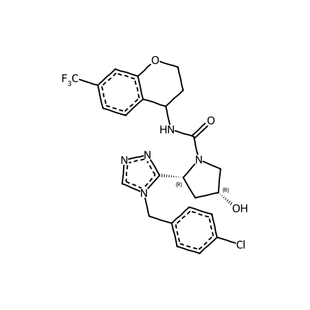 O=C(NC1CCOc2cc(C(F)(F)F)ccc21)N1C[C@H](O)C[C@@H]1c1nncn1Cc1ccc(Cl)cc1